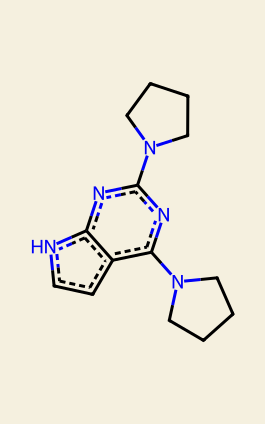 c1cc2c(N3CCCC3)nc(N3CCCC3)nc2[nH]1